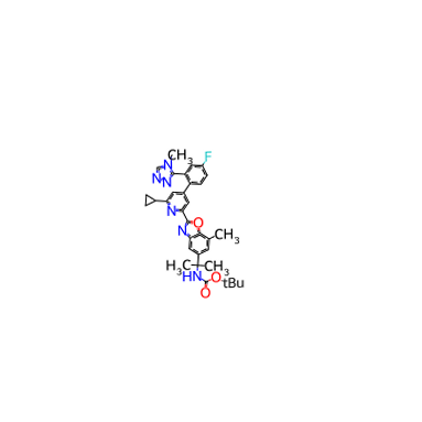 Cc1cc(C(C)(C)NC(=O)OC(C)(C)C)cc2nc(-c3cc(-c4ccc(F)cc4-c4nncn4C)cc(C4CC4)n3)oc12